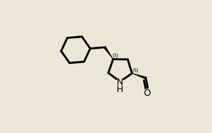 O=C[C@@H]1C[C@H](CC2CCCCC2)CN1